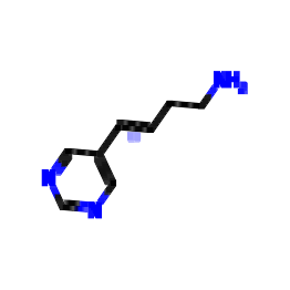 NCC/C=C/c1cncnc1